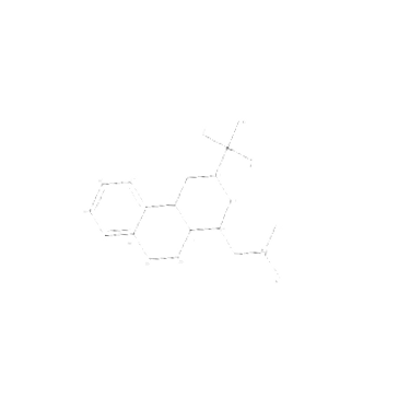 CN(C)CC1CC(C(C)(C)C)CC2c3ccccc3CCC12